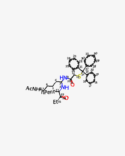 CCCCCC(NC(CCCCNC(C)=O)NC(=O)CSC(c1ccccc1)(c1ccccc1)c1ccccc1)C(=O)CC